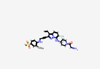 C=Cc1c(C#CCNc2ccc(S(C)(=O)=O)cc2OC)nn2c(N[C@@H]3CCN(C(=O)CN)C[C@@H]3F)cccc12